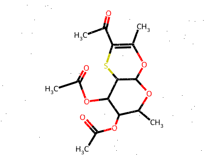 CC(=O)OC1C(C)OC2OC(C)=C(C(C)=O)SC2C1OC(C)=O